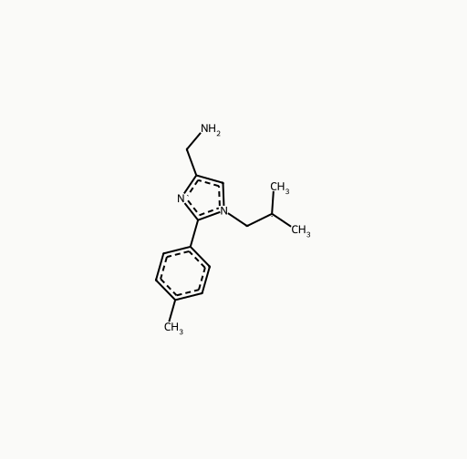 C[C](C)Cn1cc(CN)nc1-c1ccc(C)cc1